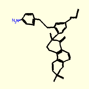 C=C1c2ccc3c(c2CCC1(C)c1ccc(CCC)cc1CCc1ccc(N)cc1)C=CC(C)(C)C3